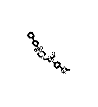 Cc1nc(-c2ccc(N3CC(CN4CCN(S(=O)(=O)c5ccc(-c6ccccc6)cc5)CC4)OC3C=O)cc2)no1